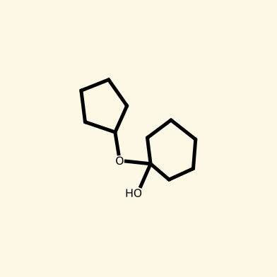 OC1(OC2CCCC2)CCCCC1